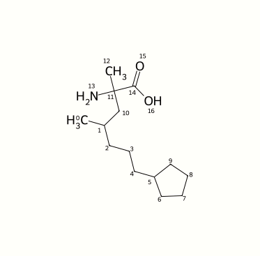 CC(CCCC1CCCC1)CC(C)(N)C(=O)O